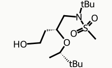 C[C@H](O[C@H](CCO)CN(C(C)(C)C)S(C)(=O)=O)C(C)(C)C